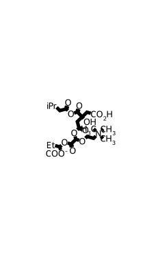 CCC(OC(=O)C(OCC[N+](C)(C)C)OC(=O)CC(O)(CC(=O)O)C(=O)OC(=O)CC(C)C)C(=O)[O-]